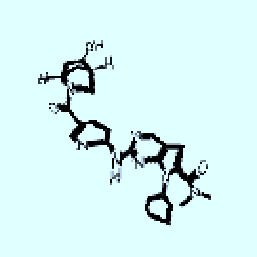 CN(C)C(=O)c1cc2cnc(Nc3ccc(C(=O)N4C[C@@H]5C[C@H]4C[C@H]5O)cn3)nc2n1C1CCCC1